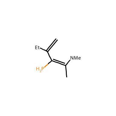 C=C(CC)/C(P)=C(/C)NC